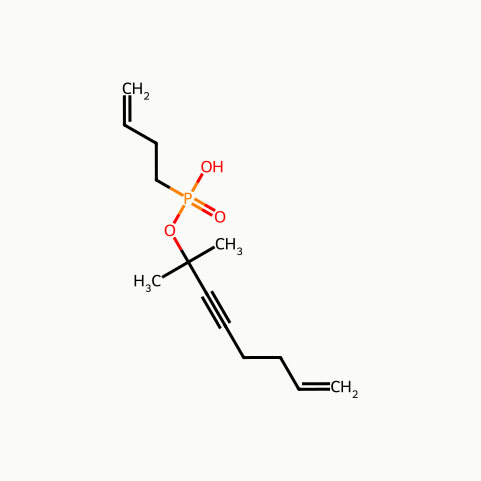 C=CCCC#CC(C)(C)OP(=O)(O)CCC=C